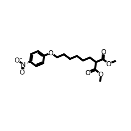 COC(=O)C(CCCCCCOc1ccc([N+](=O)[O-])cc1)C(=O)OC